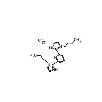 CCCC[n+]1cc[nH]c1-c1cccc(-c2[nH]cc[n+]2CCCC)n1.[Cl-].[Cl-]